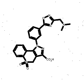 CN(C)Cc1noc(-c2cccc(-n3nc(C(=O)O)c4c3-c3ccccc3S(=O)(=O)C4)c2)n1